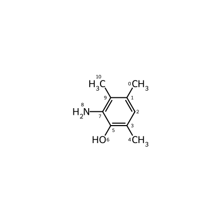 Cc1cc(C)c(O)c(N)c1C